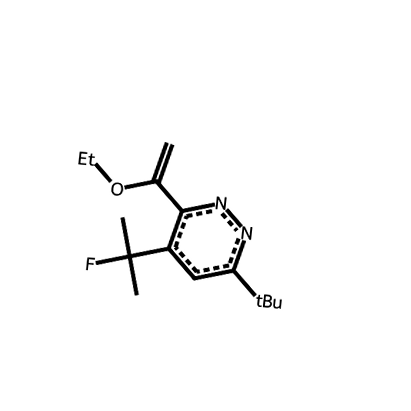 C=C(OCC)c1nnc(C(C)(C)C)cc1C(C)(C)F